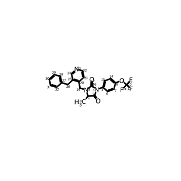 CC1C(=O)N(c2ccc(OC(F)(F)F)cc2)C(=O)N1Cc1ccncc1Cc1ccccc1